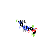 CC(C)n1c(=O)c(-c2ccc(NS(=O)(=O)CC3CC(F)(F)C3)c(F)c2)nc2cnc(NC3CCC(N(C)CCF)CC3)nc21